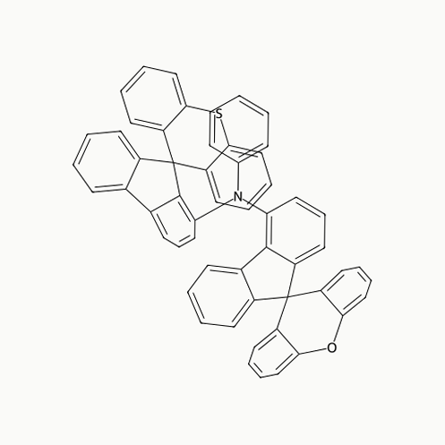 c1ccc(N(c2cccc3c2-c2ccccc2C32c3ccccc3Oc3ccccc32)c2cccc3c2C2(c4ccccc4Sc4ccccc42)c2ccccc2-3)cc1